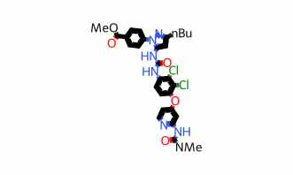 CCCCc1cc(NC(=O)Nc2ccc(Oc3ccnc(NC(=O)NC)c3)c(Cl)c2Cl)n(-c2ccc(C(=O)OC)cc2)n1